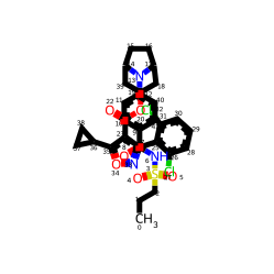 CCCS(=O)(=O)NC(=O)c1ccc(N2C3CCC2CC(OC(=O)c2c(-c4c(Cl)cccc4Cl)noc2C2CC2)C3)cc1